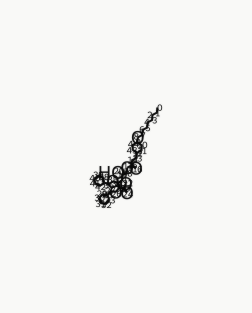 CCCCCCCCOC1CCC(CCC(=O)OC[C@H](O)[C@H]2OC(=O)C(OCc3ccccc3)=C2OCc2ccccc2)CC1